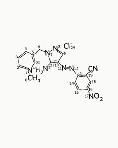 C[n+]1cccc(Cn2ncc(/N=N/c3ccc([N+](=O)[O-])cc3C#N)c2N)c1.[Cl-]